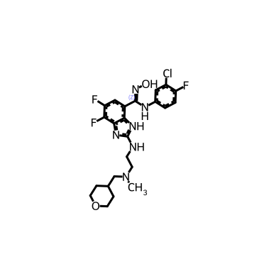 CN(CCNc1nc2c(F)c(F)cc(/C(=N/O)Nc3ccc(F)c(Cl)c3)c2[nH]1)CC1CCOCC1